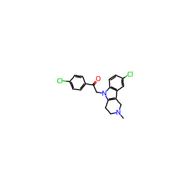 CN1CCc2c(c3cc(Cl)ccc3n2CC(=O)c2ccc(Cl)cc2)C1